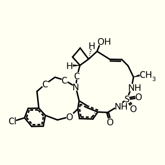 C[C@@H]1C/C=C/C(O)[C@@H]2CC[C@H]2CN2CCCCc3cc(Cl)ccc3COc3ccc(cc32)C(=O)NS(=O)(=O)N1